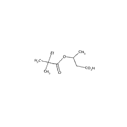 CCC(C)(C)C(=O)OC(C)CC(=O)O